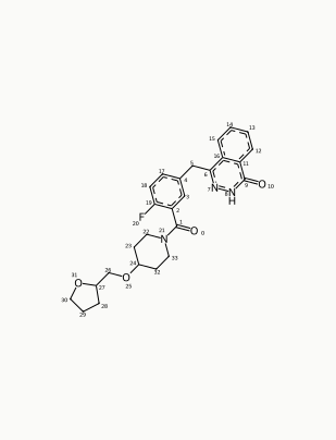 O=C(c1cc(Cc2n[nH]c(=O)c3ccccc23)ccc1F)N1CCC(OCC2CCCO2)CC1